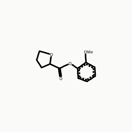 COc1ccccc1OC(=O)C1CCCO1